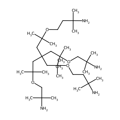 CC(C)(N)CCOC(C)(C)CC(CC(C)(C)OCCC(C)(C)N)(CC(C)(C)OCC(C)(C)N)CC(C)(C)OCC(C)(C)N